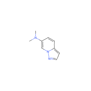 CN(C)c1ccc2ccnn2c1